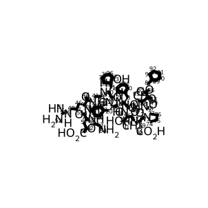 C[C@@H](O)[C@H](NC(=O)[C@H](Cc1ccc(O)cc1)NC(=O)[C@H](Cc1ccccc1)NC(=O)[C@H](Cc1ccccc1)NC(=O)CNC(=O)[C@H](CCCNC(=N)N)NC(=O)[C@H](CCC(=O)O)NC(=O)CN)C(=O)N[C@@H](CC(=O)O)C(=O)N1CCC[C@H]1C(=O)N[C@H](C(=O)C(=O)OCc1ccccc1)[C@@H](C)O